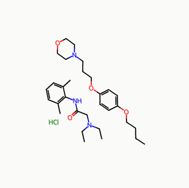 CCCCOc1ccc(OCCCN2CCOCC2)cc1.CCN(CC)CC(=O)Nc1c(C)cccc1C.Cl